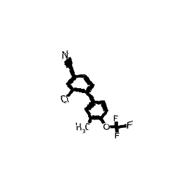 Cc1cc(-c2ccc(C#N)cc2Cl)ccc1OC(F)(F)F